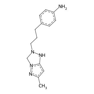 Cc1cc2n(n1)CN(CCCc1ccc(N)cc1)N2